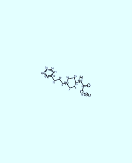 CC(C)(C)OC(=O)NC1CCN(CCCc2ccccn2)CC1